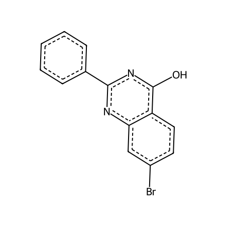 Oc1nc(-c2ccccc2)nc2cc(Br)ccc12